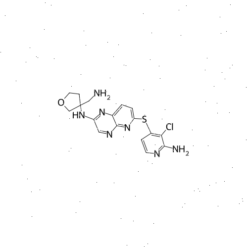 NCC1(Nc2cnc3nc(Sc4ccnc(N)c4Cl)ccc3n2)CCOC1